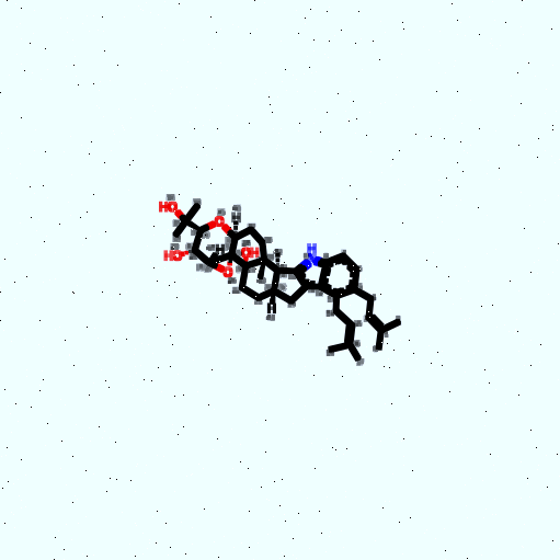 CC(C)=CCc1ccc2[nH]c3c(c2c1CC=C(C)C)C[C@@H]1CC[C@@]2(O)[C@@]45O[C@@H]4[C@H](O)[C@@H](C(C)(C)O)O[C@H]5CC[C@]2(C)[C@@]31C